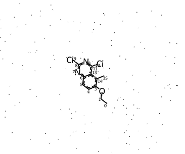 CCOc1ccc2nc(Cl)nc(Cl)c2c1C